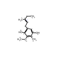 CC/C(C)=C/Cc1cc(O)c(C)c(OC)c1O